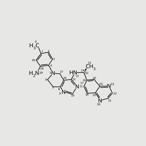 Cc1ccc(N2CCc3ncnc(N[C@@H](C)c4ccc5nccnc5c4)c3C2)c(N)c1